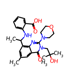 Cc1cc(C(C)Nc2ccccc2C(=O)O)c2nc(N3CCOCC3)n(CC(C)(C)O)c(=O)c2c1